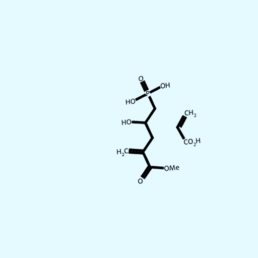 C=C(CC(O)CP(=O)(O)O)C(=O)OC.C=CC(=O)O